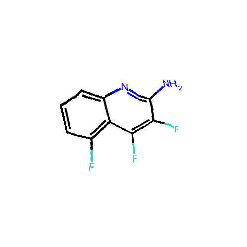 Nc1nc2cccc(F)c2c(F)c1F